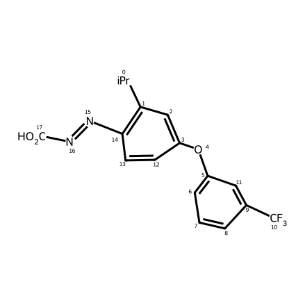 CC(C)c1cc(Oc2cccc(C(F)(F)F)c2)ccc1N=NC(=O)O